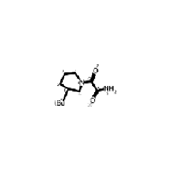 CC(C)(C)C1CCCN(C(=O)C(N)=O)C1